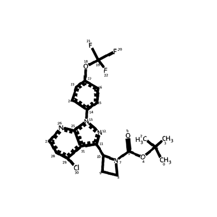 CC(C)(C)OC(=O)N1CCC1c1nn(-c2ccc(OC(F)(F)F)cc2)c2nccc(Cl)c12